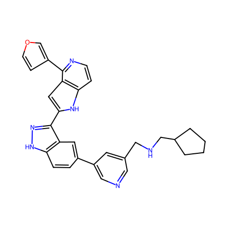 c1cc2[nH]c(-c3n[nH]c4ccc(-c5cncc(CNCC6CCCC6)c5)cc34)cc2c(-c2ccoc2)n1